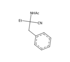 CCC(C#N)(Cc1ccccc1)NC(C)=O